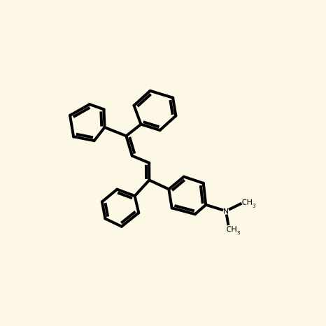 CN(C)c1ccc(C(=CC=C(c2ccccc2)c2ccccc2)c2ccccc2)cc1